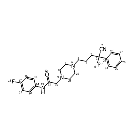 CC(C)C(C#N)(CCCN1CCN(CC(=O)Nc2ccc(F)cc2)CC1)c1ccccc1